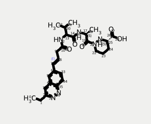 CCc1cc2cc(/C=C/CC(=O)NC(C(=O)N[C@@H](C)C(=O)N3CCC[C@@H](C(=O)O)N3)C(C)C)ccc2nn1